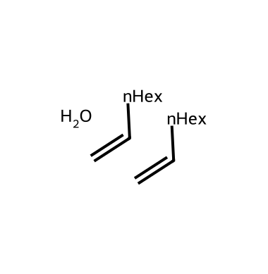 C=CCCCCCC.C=CCCCCCC.O